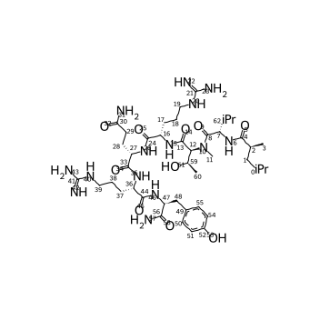 CC(C)C[C@H](C)C(=O)N[C@H](C(=O)N(C)[C@H](C(=O)N[C@@H](CCCNC(=N)N)C(=O)N[C@@H](CCC(N)=O)C(=O)N[C@@H](CCCNC(=N)N)C(=O)N[C@@H](Cc1ccc(O)cc1)C(N)=O)[C@@H](C)O)C(C)C